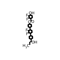 CCCC(O)c1ccc(-c2ccc(-c3ccc(OC(=O)c4ccc(O)c(F)c4F)cc3)c(F)c2F)cc1